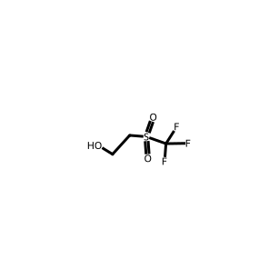 O=S(=O)(CCO)C(F)(F)F